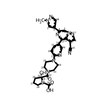 Cn1cc(-c2cn3ncc(C#N)c3c(-c3ccc(N4CCN(C(=O)[C@]5(C)CCCN5C(=O)O)CC4)nc3)n2)cn1